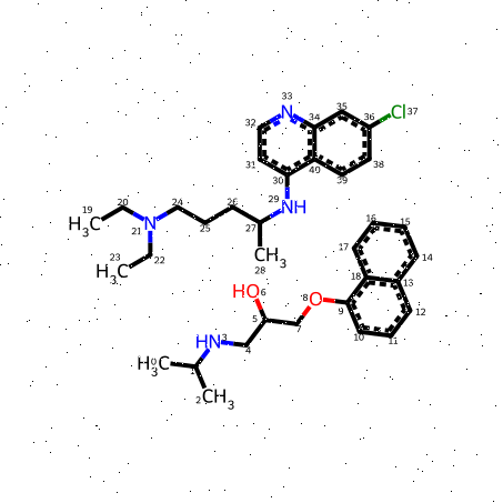 CC(C)NCC(O)COc1cccc2ccccc12.CCN(CC)CCCC(C)Nc1ccnc2cc(Cl)ccc12